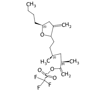 C=C1C[C@H](CCCC)OC1CC[C@H](C)C[C@@H](C)C(=C)OS(=O)(=O)C(F)(F)F